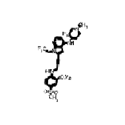 COc1cc(S(C)(=O)=O)ccc1NCC#Cc1cc2c(N[C@@H]3CCN(C)C[C@H]3F)cccc2n1CC(F)(F)F